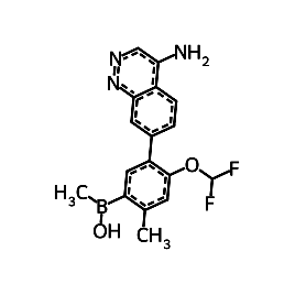 CB(O)c1cc(-c2ccc3c(N)cnnc3c2)c(OC(F)F)cc1C